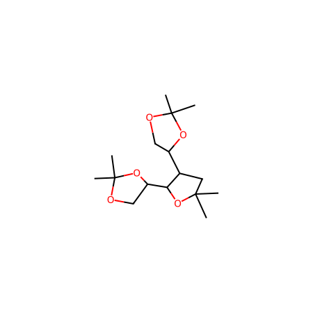 CC1(C)CC(C2COC(C)(C)O2)C(C2COC(C)(C)O2)O1